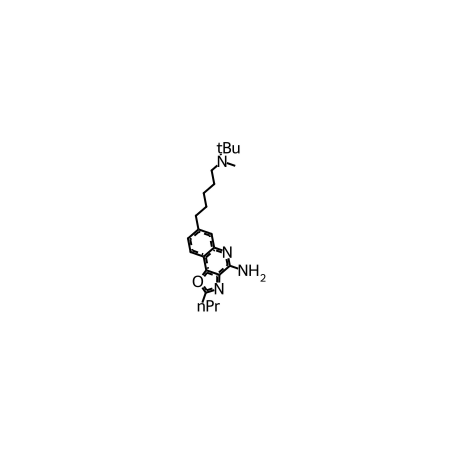 CCCc1nc2c(N)nc3cc(CCCCCN(C)C(C)(C)C)ccc3c2o1